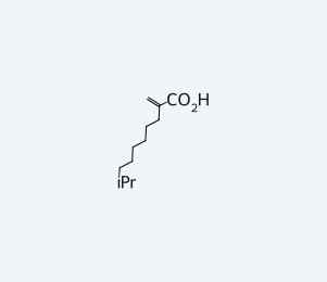 C=C(CCCCCCC(C)C)C(=O)O